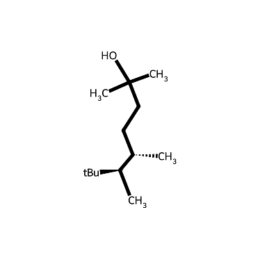 C[C@H]([C@@H](C)CCC(C)(C)O)C(C)(C)C